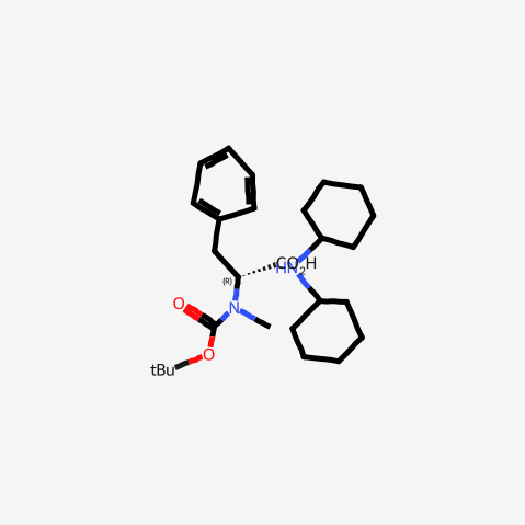 C1CCC(NC2CCCCC2)CC1.CN(C(=O)OC(C)(C)C)[C@H](Cc1ccccc1)C(=O)O